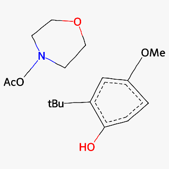 CC(=O)ON1CCOCC1.COc1ccc(O)c(C(C)(C)C)c1